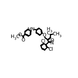 COC(=O)c1ccc(Nc2ccc(OCc3c(-c4c(Cl)cccc4Cl)noc3C(C)C)cc2)cc1